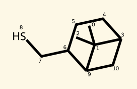 CC1(C)C2CCC(CS)C1C2